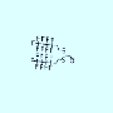 O=CC(SCCC(F)(F)C(F)(F)C(F)(F)C(F)(F)F)SCCC(F)(F)C(F)(F)C(F)(F)C(F)(F)F